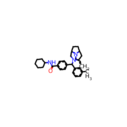 C=CCN1C2CCC1CN(C(c1ccc(C(=O)NC3CCCCC3)cc1)c1cccc(C)c1)CC2